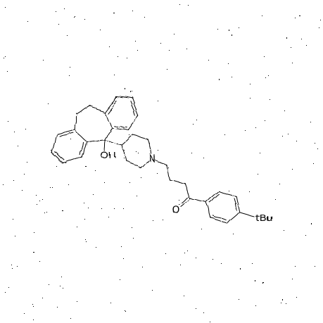 CC(C)(C)c1ccc(C(=O)CCCN2CCC(C3(O)c4ccccc4CCc4ccccc43)CC2)cc1